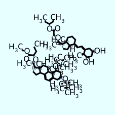 C=C1C(=CC=C2CCC[C@]3(C)[C@@H]([C@H](C)OCC(=O)OC(CC)CC)CC[C@@H]23)C[C@@H](O)C[C@@H]1O.CCCC(O[C@@H](C)[C@H]1CCC2C3=CC=C4C[C@@H](O[Si](C)(C)C(C)(C)C)C[C@H](O[Si](C)(C)C(C)(C)C)[C@]4(C)C3CC[C@@]21C)C(=O)OCC